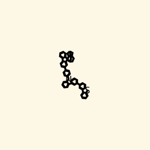 c1ccc2c(c1)-c1ccc(-c3ccc(-n4c5ccccc5c5cc(-c6ccc7sc8ccccc8c7c6)ccc54)cc3)cc1C21C2CCC3CC(C2)CC31